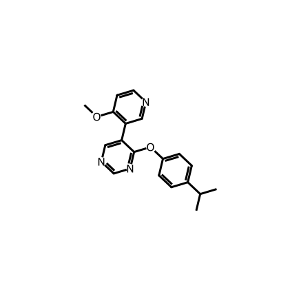 COc1ccncc1-c1cncnc1Oc1ccc(C(C)C)cc1